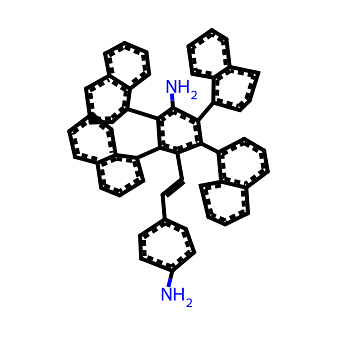 Nc1ccc(C=Cc2c(-c3cccc4ccccc34)c(-c3cccc4ccccc34)c(N)c(-c3cccc4ccccc34)c2-c2cccc3ccccc23)cc1